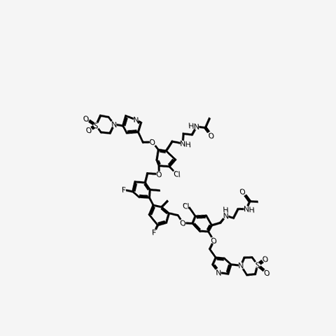 CC(=O)NCCNCc1cc(Cl)c(OCc2cc(F)cc(-c3cc(F)cc(COc4cc(OCc5cncc(N6CCS(=O)(=O)CC6)c5)c(CNCCNC(C)=O)cc4Cl)c3C)c2C)cc1OCc1cncc(N2CCS(=O)(=O)CC2)c1